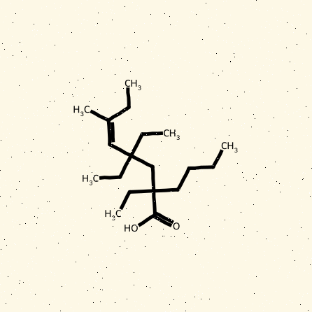 CCCCC(CC)(CC(C=C(C)CC)(CC)CC)C(=O)O